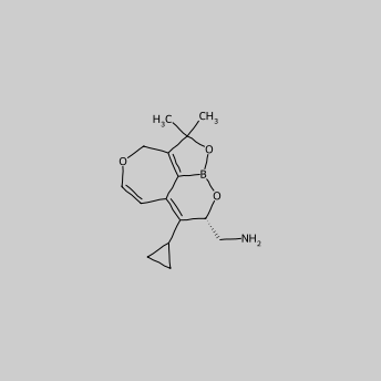 CC1(C)OB2O[C@H](CN)C(C3CC3)=C3C=COCC1=C23